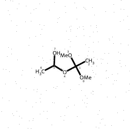 COC(C)(OC)OC(C)O